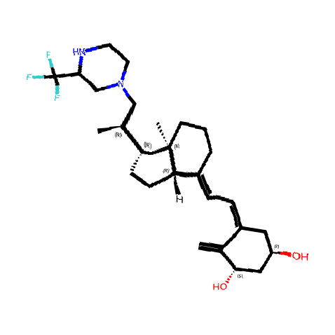 C=C1C(=CC=C2CCC[C@]3(C)[C@@H]([C@@H](C)CN4CCNC(C(F)(F)F)C4)CC[C@@H]23)C[C@@H](O)C[C@@H]1O